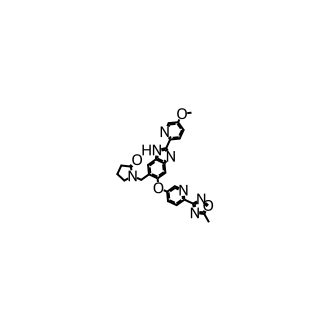 COc1ccc(-c2nc3cc(Oc4ccc(-c5noc(C)n5)nc4)c(CN4CCCC4=O)cc3[nH]2)nc1